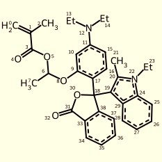 C=C(C)C(=O)OC(C)Oc1cc(N(CC)CC)ccc1C1(c2c(C)n(CC)c3ccccc23)OC(=O)c2ccccc21